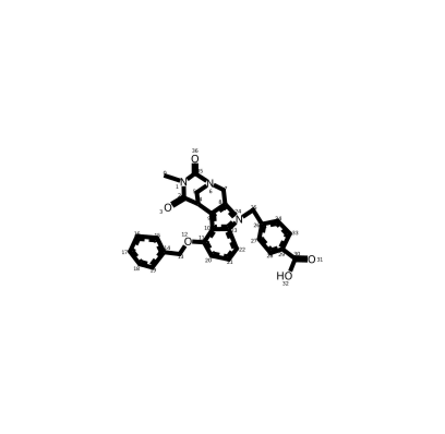 CN1C(=O)C2CN(Cc3c2c2c(OCc4ccccc4)cccc2n3Cc2ccc(C(=O)O)cc2)C1=O